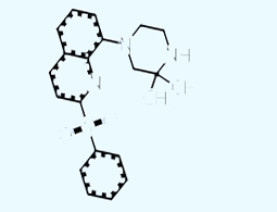 CC1(C)CN(c2cccc3ccc(S(=O)(=O)c4ccccc4)nc23)CCN1